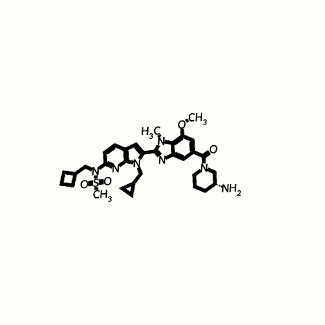 COc1cc(C(=O)N2CCC[C@@H](N)C2)cc2nc(-c3cc4ccc(N(CC5CCC5)S(C)(=O)=O)nc4n3CC3CC3)n(C)c12